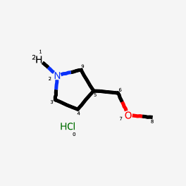 Cl.[2H]N1CCC(COC)C1